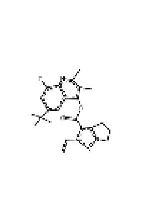 C=Cc1nn2c(c1C(=O)Oc1c(C)c(C)nc3c(F)cc(C(C)(C)C)cc13)CCC2